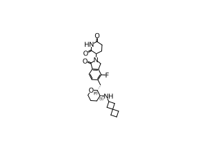 O=C1CCC(N2Cc3c(ccc(C[C@H]4OCCC[C@@H]4NC4CC5(CCC5)C4)c3F)C2=O)C(=O)N1